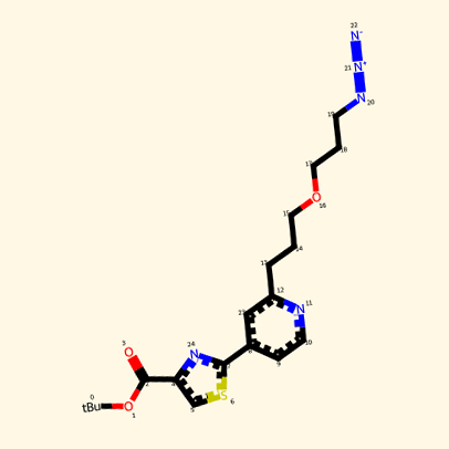 CC(C)(C)OC(=O)c1csc(-c2ccnc(CCCOCCCN=[N+]=[N-])c2)n1